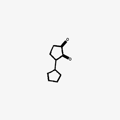 O=C1CCC(C2CCCC2)C1=O